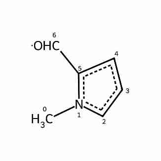 Cn1cccc1[C]=O